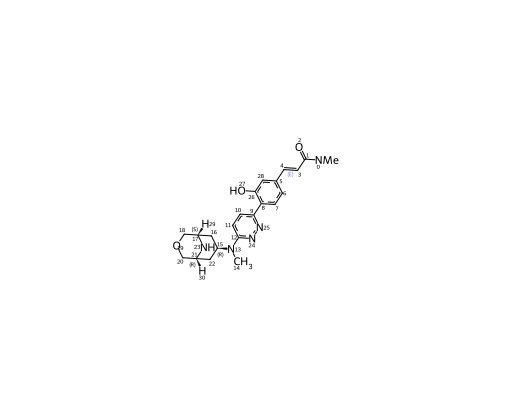 CNC(=O)/C=C/c1ccc(-c2ccc(N(C)[C@@H]3C[C@H]4COC[C@@H](C3)N4)nn2)c(O)c1